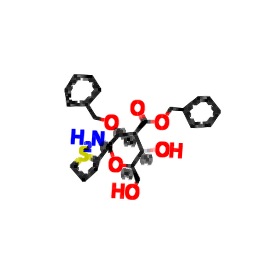 N[C@@]1(c2cccs2)O[C@H](CO)[C@@H](O)[C@H](C(=O)OCc2ccccc2)[C@H]1OCc1ccccc1